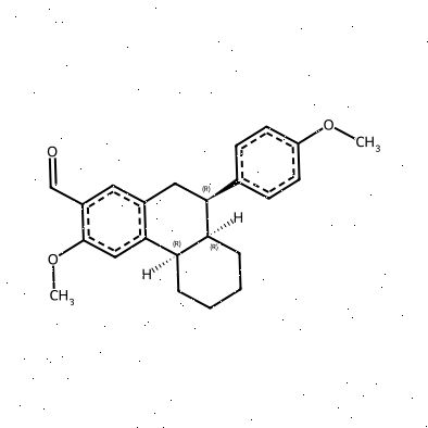 COc1ccc([C@@H]2Cc3cc(C=O)c(OC)cc3[C@@H]3CCCC[C@H]23)cc1